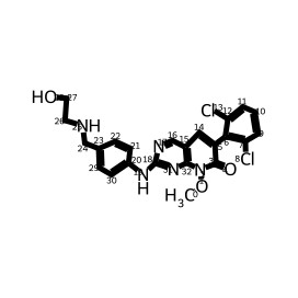 COn1c(=O)c(-c2c(Cl)cccc2Cl)cc2cnc(Nc3ccc(CNCCO)cc3)nc21